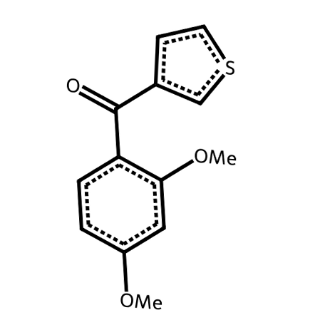 COc1ccc(C(=O)c2ccsc2)c(OC)c1